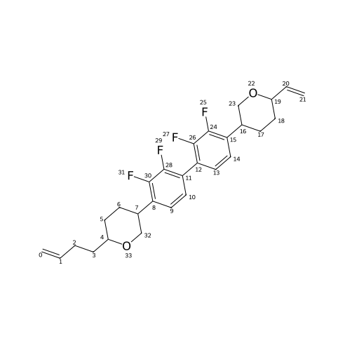 C=CCCC1CCC(c2ccc(-c3ccc(C4CCC(C=C)OC4)c(F)c3F)c(F)c2F)CO1